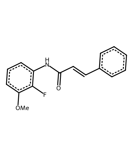 COc1cccc(NC(=O)C=Cc2ccccc2)c1F